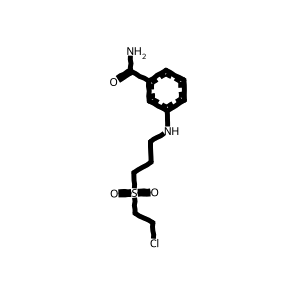 NC(=O)c1cccc(NCCCS(=O)(=O)CCCl)c1